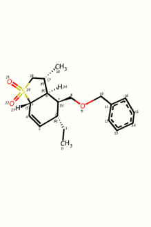 CC[C@@H]1C=C[C@H]2[C@H]([C@H]1COCc1ccccc1)[C@@H](C)CS2(=O)=O